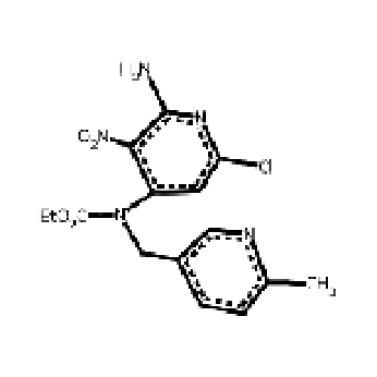 CCOC(=O)N(Cc1ccc(C)nc1)c1cc(Cl)nc(N)c1[N+](=O)[O-]